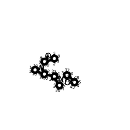 c1ccc2c(c1)oc1ccc(-n3c4ccccc4c4ccc(-c5ccc6c(c5)c5ccccc5n6-c5cccc6c5oc5ccccc56)cc43)cc12